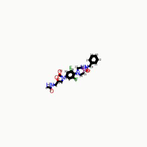 CC(=O)NCC1CN(c2cc(F)c(N3CCP(=O)(NCc4ccccc4)CC3)c(F)c2)C(=O)O1